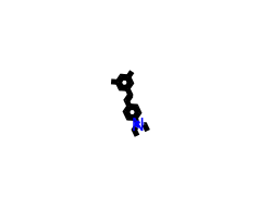 CCN(CC)c1ccc(/C=C/c2cc(C)cc(C)c2)cc1